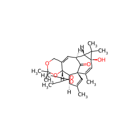 CC1=C[C@]23C(=O)[C@@H](C=C4COC(C)(C)O[C@H]4[C@@]24OC(C)(C)O[C@@H]14)[C@@H]1C(C)(C)[C@]1(O)C=C3C